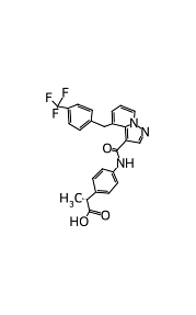 C[C@@H](C(=O)O)c1ccc(NC(=O)c2cnn3cccc(Cc4ccc(C(F)(F)F)cc4)c23)cc1